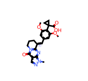 COc1cc(/C=C2\CCCn3c2nc2c(cnn2C)c3=O)cc(OC)c1C1(C(=O)O)CC1